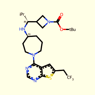 CC(C)[C@@H](N[C@H]1CCCN(c2ncnc3sc(CC(F)(F)F)cc23)CC1)C1CN(C(=O)OC(C)(C)C)C1